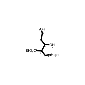 CCCCCCCCC(C(=O)OCC)C(O)CCO